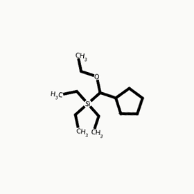 CCOC(C1[CH]CCC1)[Si](CC)(CC)CC